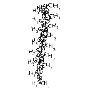 C[SiH2]OO[SiH](C)O[SiH](C)O[SiH](C)O[SiH](C)O[SiH](C)O[SiH](C)O[SiH](C)O[SiH](C)O[SiH](C)O[SiH](C)O[SiH](C)O[SiH](C)O[SiH](C)O[SiH2]C